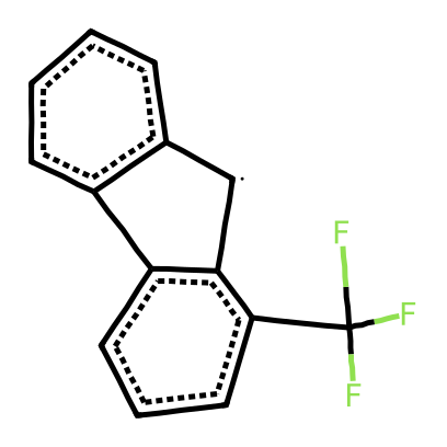 FC(F)(F)c1cccc2c1[CH]c1ccccc1-2